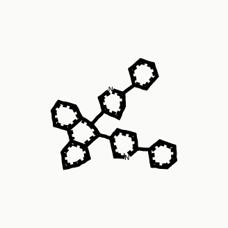 c1ccc(-c2ccc(-c3c(-c4ccc(-c5ccccc5)nc4)c4ccccc4c4ccccc34)cn2)cc1